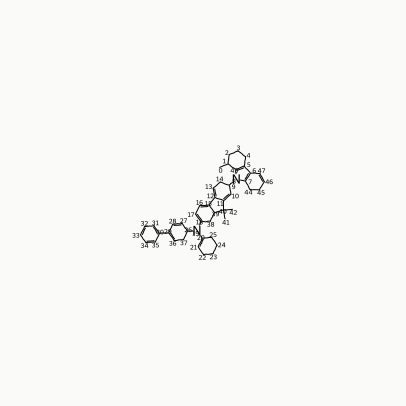 CC1CCCc2c3c(n(C4C=C5C(=CC4)C4=CC=C(N(C6=CCCCC6)C6C=CC(c7ccccc7)=CC6)CC4C5(C)C)c21)CCC=C3